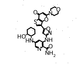 NC(=O)c1ncc(N[C@@H]2CCCC[C@@H]2O)cc1Nc1cc(-c2csc3c(=O)cc(N4CCOCC4)oc23)on1